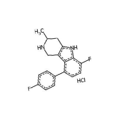 CC1Cc2[nH]c3c(F)ccc(-c4ccc(F)cc4)c3c2CN1.Cl